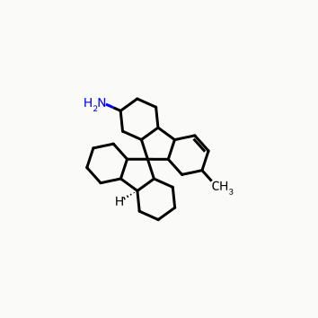 CC1C=CC2C3CCC(N)CC3C3(C2C1)C1CCCCC1[C@@H]1CCCCC13